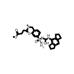 COC(=O)CCC(=O)N(C)Cc1ccc(S(N)(=O)=NC(O)Nc2c3c(cc4c2CCC4)CCC3)cc1